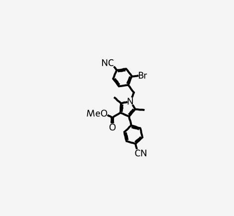 COC(=O)c1c(-c2ccc(C#N)cc2)c(C)n(Cc2ccc(C#N)cc2Br)c1C